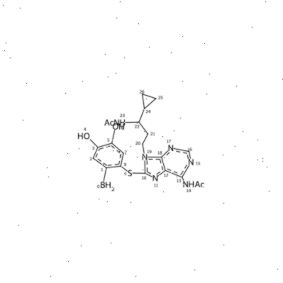 Bc1cc(O)c(O)cc1Sc1nc2c(NC(C)=O)ncnc2n1CCC(NC(C)=O)C1CC1